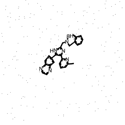 BN(Cc1nc(-c2cccc(C)n2)c(-c2ccc3nccnc3c2)[nH]1)Cc1ccccc1C